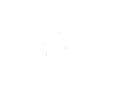 CC1(C)OB(CC2COCCO2)OC1(C)C